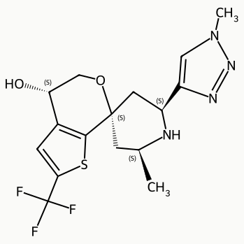 C[C@H]1C[C@@]2(C[C@@H](c3cn(C)nn3)N1)OC[C@@H](O)c1cc(C(F)(F)F)sc12